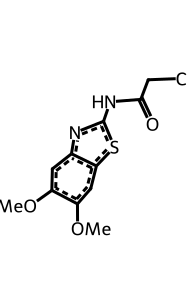 COc1cc2nc(NC(=O)CCl)sc2cc1OC